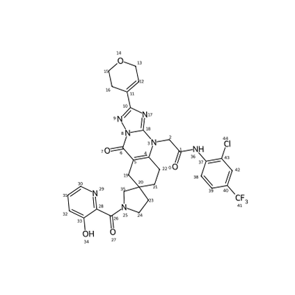 O=C(Cn1c2c(c(=O)n3nc(C4=CCOCC4)nc13)CC1(CC2)CCN(C(=O)c2ncccc2O)C1)Nc1ccc(C(F)(F)F)cc1Cl